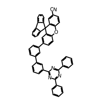 N#Cc1ccc2c(c1)C1(c3cc(-c4cccc(-c5cccc(-c6nc(-c7ccccc7)nc(-c7ccccc7)n6)c5)c4)ccc3O2)c2ccccc2-c2ccccc21